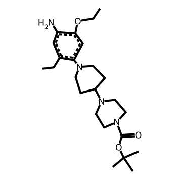 CCOc1cc(N2CCC(N3CCN(C(=O)OC(C)(C)C)CC3)CC2)c(CC)cc1N